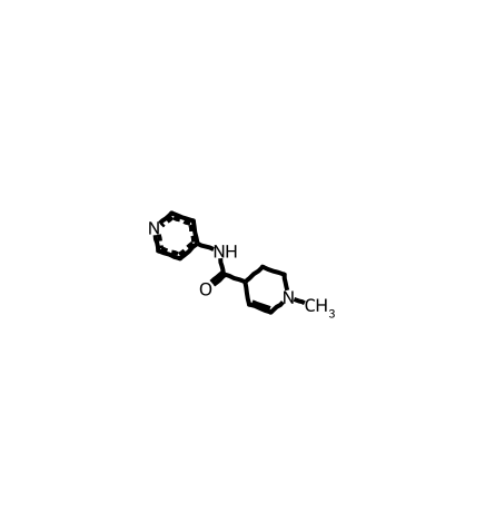 CN1C=CC(C(=O)Nc2ccncc2)CC1